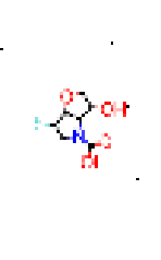 O=C(O)N1CC(F)C2OCC(O)C21